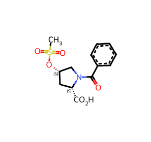 CS(=O)(=O)O[C@H]1C[C@@H](C(=O)O)N(C(=O)c2ccccc2)C1